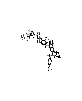 Cn1c(Nc2c(Cl)ccc(CNC(=O)c3csc(N)n3)c2Cl)nc2cc(C(=O)NC3CCC(C(F)(F)F)CC3)c(N3CC4CC4C3)cc21